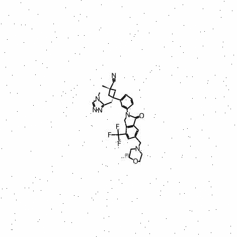 C[C@@H]1CN(Cc2cc3c(c(C(F)(F)F)c2)CN(c2cccc([C@]4(Cc5nncn5C)C[C@@](C)(C#N)C4)c2)C3=O)CCO1